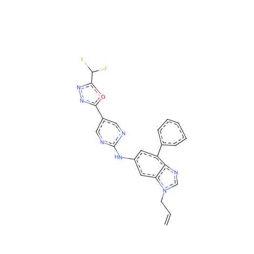 C=CCn1cnc2c(-c3ccccc3)cc(Nc3ncc(-c4nnc(C(F)F)o4)cn3)cc21